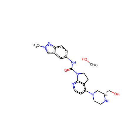 Cn1cc2cc(NC(=O)N3CCc4c(N5CCN[C@@H](CO)C5)ccnc43)ccc2n1.O=CO